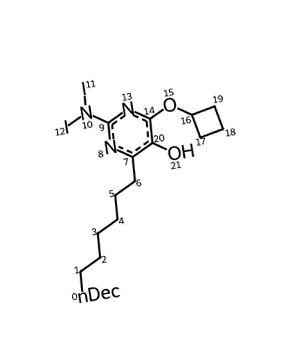 CCCCCCCCCCCCCCCCc1nc(N(I)I)nc(OC2CCC2)c1O